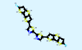 Fc1cc2sc3cc(-c4cnc(-c5ncc(-c6cc7sc8cc(F)sc8c7s6)s5)s4)sc3c2s1